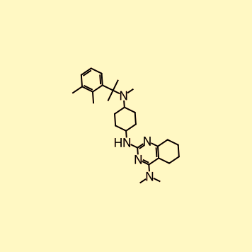 Cc1cccc(C(C)(C)N(C)C2CCC(Nc3nc4c(c(N(C)C)n3)CCCC4)CC2)c1C